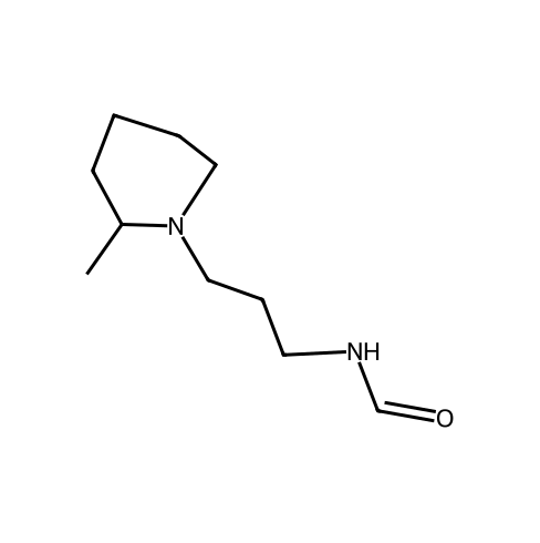 CC1CCCCN1CCCNC=O